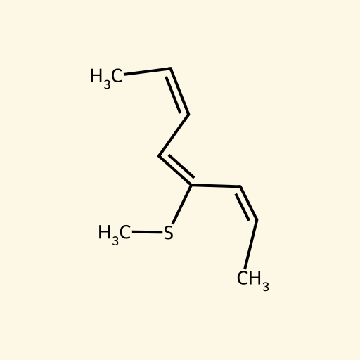 C\C=C/C=C(\C=C/C)SC